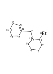 CCC1CCCCN1CC1=C[C][C]C=C1